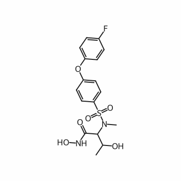 CC(O)C(C(=O)NO)N(C)S(=O)(=O)c1ccc(Oc2ccc(F)cc2)cc1